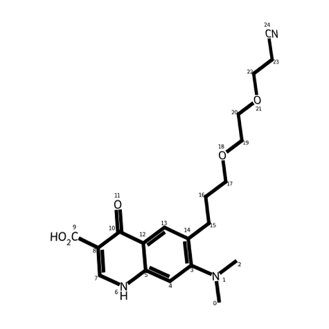 CN(C)c1cc2[nH]cc(C(=O)O)c(=O)c2cc1CCCOCCOCCC#N